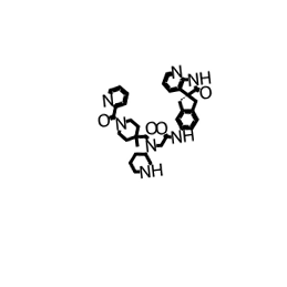 CC1(C(=O)N(CC(=O)Nc2ccc3c(c2)C[C@@]2(C3)C(=O)Nc3ncccc32)[C@H]2CCCNC2)CCN(C(=O)c2ccccn2)CC1